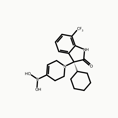 O=C1Nc2c(C(F)(F)F)cccc2[C@]1(C1CCCCC1)N1CC=C(B(O)O)CC1